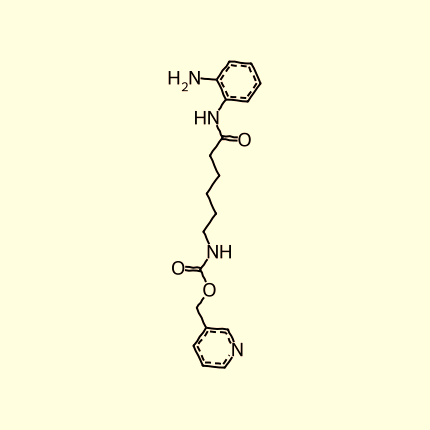 Nc1ccccc1NC(=O)CCCCCNC(=O)OCc1cccnc1